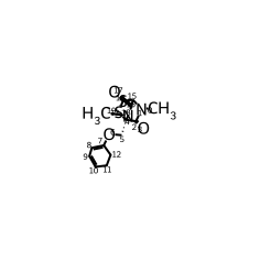 CN1C(=O)[C@@]2(COC3=CC=CCC3)SSC1C(=O)N2C